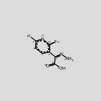 NN=C(C(=O)O)c1ccc(F)nc1F